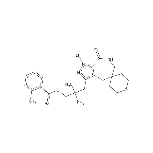 CCn1nc(CC(C)(C)COC(=O)c2ccccc2C)c2c1C(=O)NCC1(CCOCC1)C2